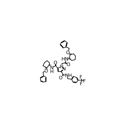 O=C(Cn1nc(C(=O)NCc2ccc(C(F)(F)F)cc2)cc1C(=O)N[C@H]1CCCC[C@@H]1OCc1ccccc1)N[C@H]1CCCC[C@@H]1OCc1ccccc1